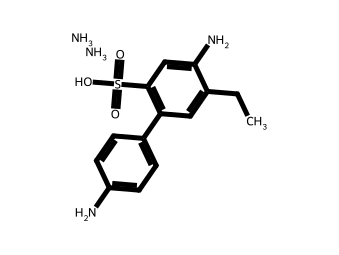 CCc1cc(-c2ccc(N)cc2)c(S(=O)(=O)O)cc1N.N.N